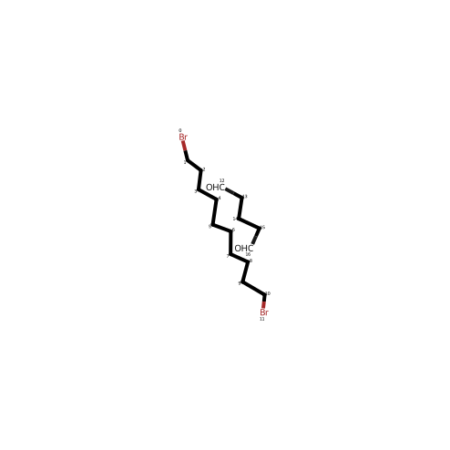 BrCCCCCCCCCCBr.O=CCCCC=O